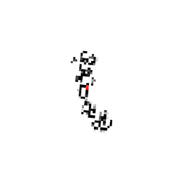 C\C=C(/C=C\C(C)=N\C1=C(C)[C@@H](c2ccccc2OC(F)F)C[C@H]1OC)c1cnc(CCC2CCC(CC)C2C(=O)OC)nc1